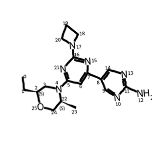 CC[C@H]1CN(c2cc(-c3cnc(N)nc3)nc(N3CCC3)n2)[C@@H](C)CO1